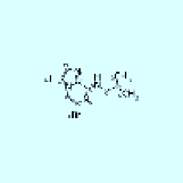 CC(C)CNc1nc(Br)cn2c(I)cnc12